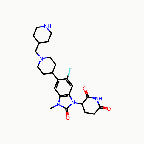 Cn1c(=O)n(C2CCC(=O)NC2=O)c2cc(F)c(C3CCN(CC4CCNCC4)CC3)cc21